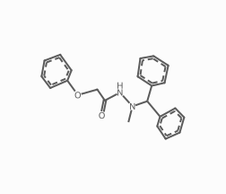 CN(NC(=O)COc1ccccc1)C(c1ccccc1)c1ccccc1